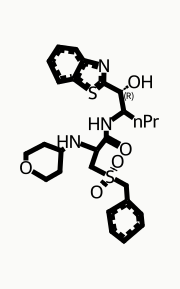 CCCC(NC(=O)C(CS(=O)(=O)Cc1ccccc1)NC1CCOCC1)[C@@H](O)c1nc2ccccc2s1